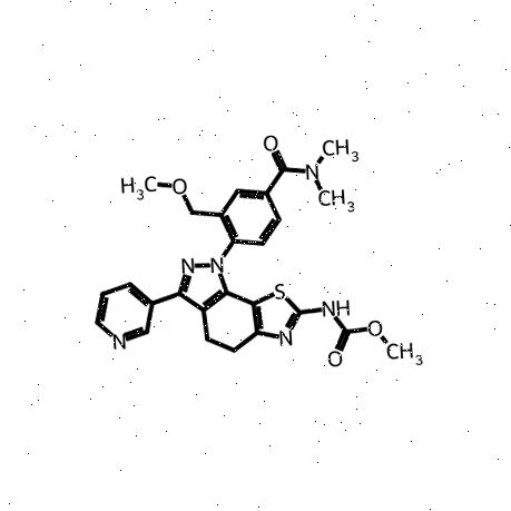 COCc1cc(C(=O)N(C)C)ccc1-n1nc(-c2cccnc2)c2c1-c1sc(NC(=O)OC)nc1CC2